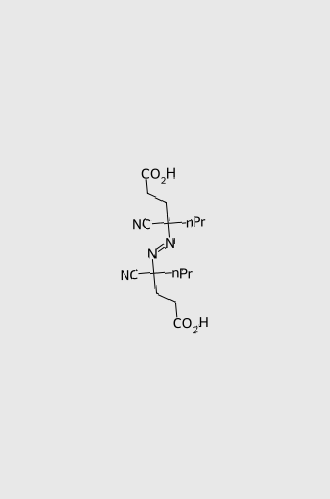 CCCC(C#N)(CCC(=O)O)N=NC(C#N)(CCC)CCC(=O)O